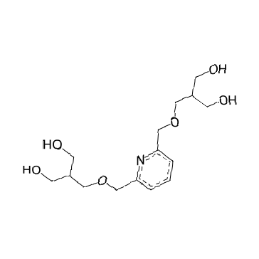 OCC(CO)COCc1cccc(COCC(CO)CO)n1